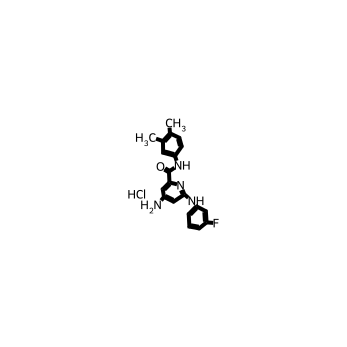 Cc1ccc(NC(=O)c2cc(N)cc(Nc3cccc(F)c3)n2)cc1C.Cl